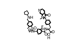 Cc1cc(CNC2CCCC2)ccc1S(=O)(=O)Nc1ccc(C(=O)N[C@@H](Cc2ccc(-n3c(=O)c4ccncc4n3C)cc2)C(=O)O)c(F)c1